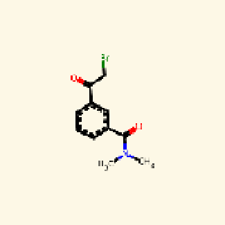 CN(C)C(=O)c1cccc(C(=O)CBr)c1